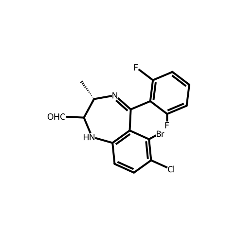 C[C@@H]1N=C(c2c(F)cccc2F)c2c(ccc(Cl)c2Br)NC1C=O